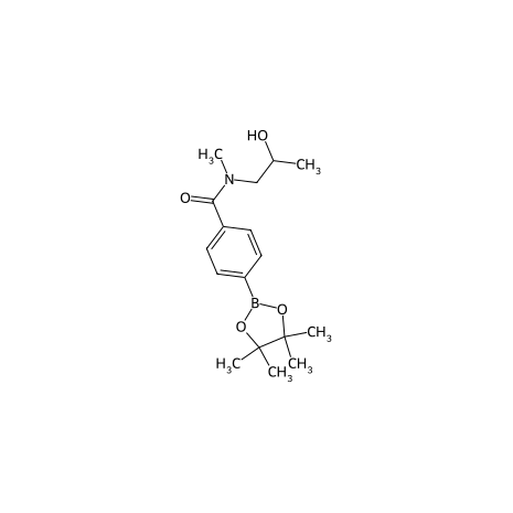 CC(O)CN(C)C(=O)c1ccc(B2OC(C)(C)C(C)(C)O2)cc1